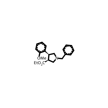 CCOC(=O)[C@@H]1CN(Cc2ccccc2)C[C@@H]1c1ccccc1OC